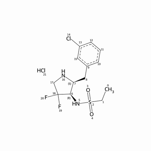 CCS(=O)(=O)N[C@@H]1[C@H](Cc2cccc(Cl)c2)NCC1(F)F.Cl